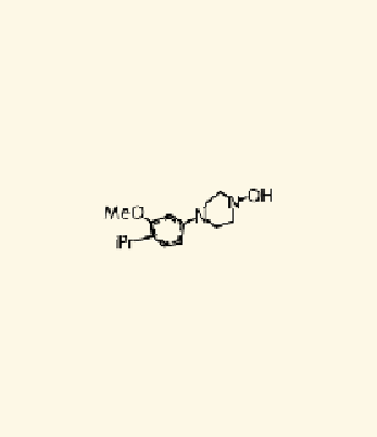 COc1cc(N2CCN(O)CC2)ccc1C(C)C